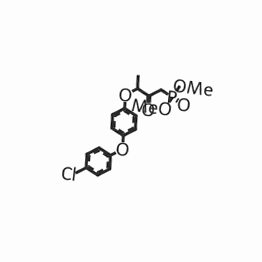 COP(=O)(CC(=O)C(C)Oc1ccc(Oc2ccc(Cl)cc2)cc1)OC